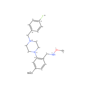 CCONCc1ccc(OC)cc1N1CCN(Cc2ccc(F)cc2)CC1